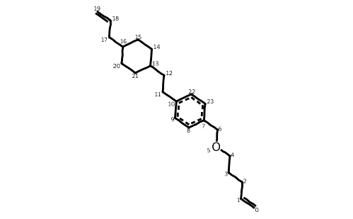 C=CCCCOCc1ccc(CCC2CCC(CC=C)CC2)cc1